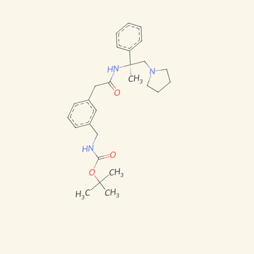 CC(C)(C)OC(=O)NCc1cccc(CC(=O)N[C@](C)(CN2CCCC2)c2ccccc2)c1